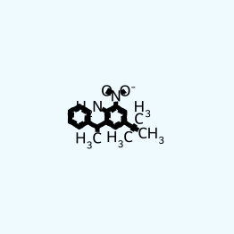 CC(c1ccccc1)c1cc(C(C)(C)C)cc([N+](=O)[O-])c1N